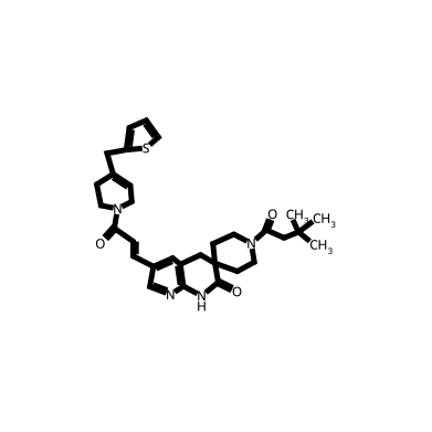 CC(C)(C)CC(=O)N1CCC2(CC1)Cc1cc(C=CC(=O)N3CC=C(Cc4cccs4)CC3)cnc1NC2=O